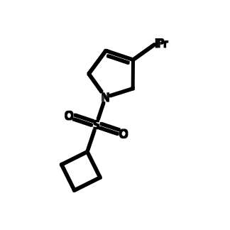 CC(C)C1=CCN(S(=O)(=O)C2CCC2)C1